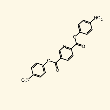 O=C(Oc1ccc([N+](=O)[O-])cc1)c1ccc(C(=O)Oc2ccc([N+](=O)[O-])cc2)nc1